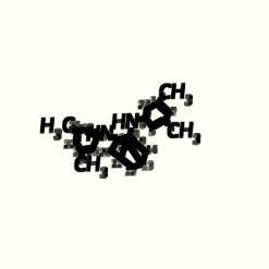 Cc1cc(C)cc(NC2C3CC4CC(C3)CC2(Nc2cc(C)cc(C)c2)C4)c1